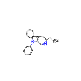 CC(C)(C)Cc1cc2c3ccccc3n(-c3ccccc3)c2cn1